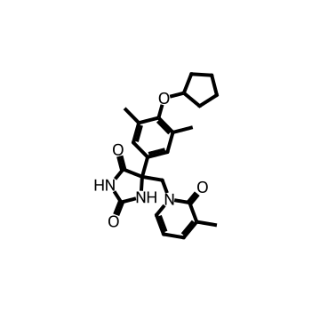 Cc1cc(C2(Cn3cccc(C)c3=O)NC(=O)NC2=O)cc(C)c1OC1CCCC1